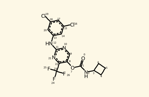 O=C(NC1CCC1)Oc1cnc(Nc2cc(Cl)cc(Cl)c2)nc1C(F)(F)F